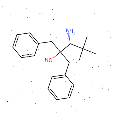 CC(C)(C)[C@@H](N)C(O)(Cc1ccccc1)Cc1ccccc1